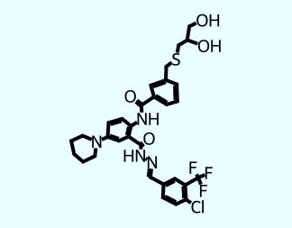 O=C(Nc1ccc(N2CCCCC2)cc1C(=O)N/N=C/c1ccc(Cl)c(C(F)(F)F)c1)c1cccc(CSCC(O)CO)c1